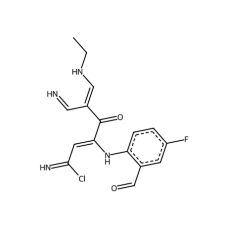 CCN/C=C(\C=N)C(=O)/C(=C/C(=N)Cl)Nc1ccc(F)cc1C=O